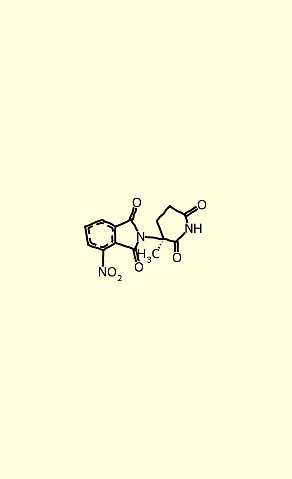 C[C@]1(N2C(=O)c3cccc([N+](=O)[O-])c3C2=O)CCC(=O)NC1=O